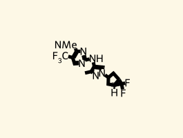 CNc1nc(Nc2cn(C3CC4[C@@H](C3)C4(F)F)nc2C)ncc1C(F)(F)F